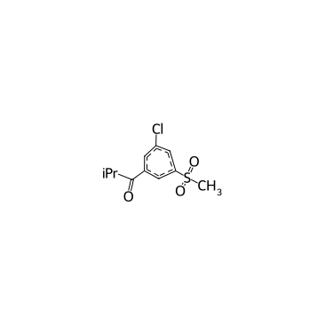 CC(C)C(=O)c1cc(Cl)cc(S(C)(=O)=O)c1